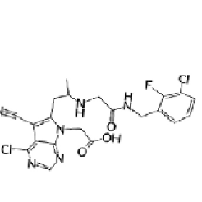 CC(Cc1c(C#N)c2c(Cl)ncnc2n1CC(=O)O)NCC(=O)NCc1cccc(Cl)c1F